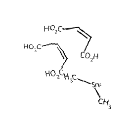 O=C(O)/C=C\C(=O)O.O=C(O)/C=C\C(=O)O.[CH3][Sn][CH3]